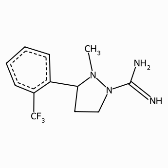 CN1C(c2ccccc2C(F)(F)F)CCN1C(=N)N